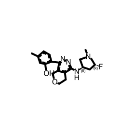 Cc1ccc(-c2nnc(N[C@@H]3C[C@@H](F)CN(C)C3)c3c2COCC3)c(O)c1